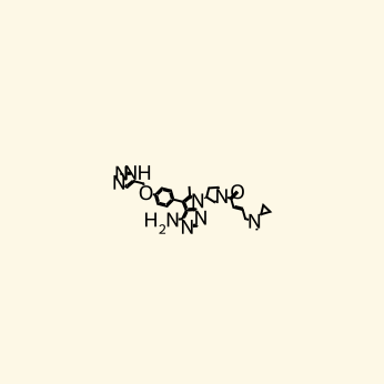 Cc1c(-c2ccc(OCc3cnn[nH]3)cc2)c2c(N)ncnc2n1[C@@H]1CCN(C(=O)C=CCN(C)C2CC2)C1